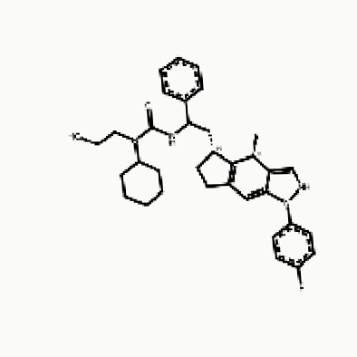 C[C@H]1C2=CNN(c3ccc(F)cc3)C2=CC2=C1[C@@H](CC(NC(=O)N(CCO)C1CCCCC1)c1ccccc1)CC2